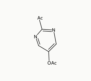 CC(=O)Oc1cnc(C(C)=O)nc1